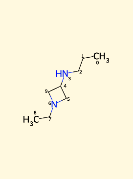 CCCNC1CN(CC)C1